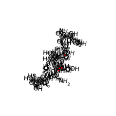 CC(C)C[C@H](NC(=O)[C@H](Cc1ccc(O)cc1)NC(=O)[C@H](CCCCN)NC(=O)[C@H](CO)NC(=O)[C@H](Cc1ccc(O)cc1)NC(=O)[C@H](CC(=O)O)NC(=O)[C@H](CO)NC(=O)[C@@H](NC(=O)[C@H](Cc1ccccc1)NC(=O)[C@@H](NC(=O)CNC(=O)[C@H](CCC(N)=O)NC(=O)[C@H](CO)NC(=O)[C@@H](N)Cc1c[nH]cn1)[C@@H](C)O)[C@@H](C)O)C(=O)N[C@@H](CC(=O)O)C(=O)N[C@@H](CS)C(=O)O